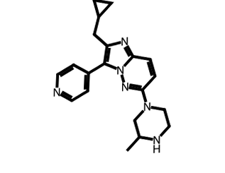 CC1CN(c2ccc3nc(CC4CC4)c(-c4ccncc4)n3n2)CCN1